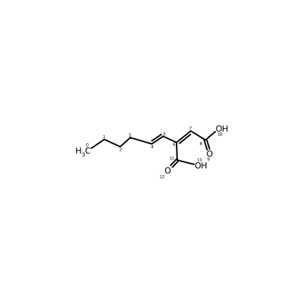 CCCCC=CC(=CC(=O)O)C(=O)O